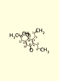 C=CCC1=C(CCC)C(=O)C=C(CC(=C)C)C1=O